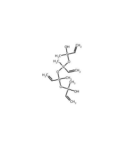 C=C[Si](C)(O)O[Si](C)(C=C)O[Si](C)(C=C)O[Si](C)(O)C=C